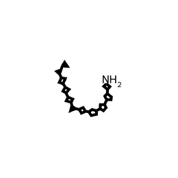 NC1CC(C2CCC(C3CCC(C4CCC(C5CC(C6CC6C6CC(C7CC(C8CC(C9CC9C9CC9)C8)C7)C6)C5)C4)C3)C2)C1